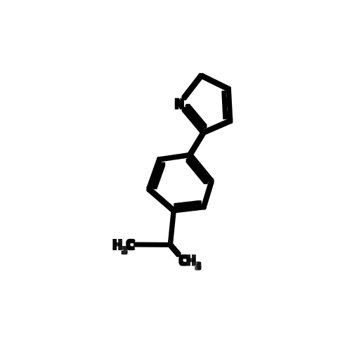 CC(C)c1ccc(C2=NCC=C2)cc1